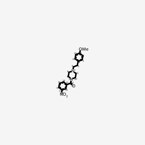 COc1ccc(CCN2CCN(C(=O)c3cccc([N+](=O)[O-])c3)CC2)cc1